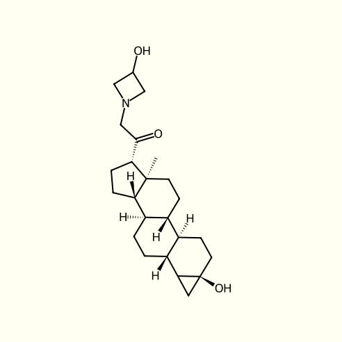 C[C@]12CC[C@@H]3[C@H]4CC[C@]5(O)CC5[C@@H]4CC[C@H]3[C@@H]1CC[C@@H]2C(=O)CN1CC(O)C1